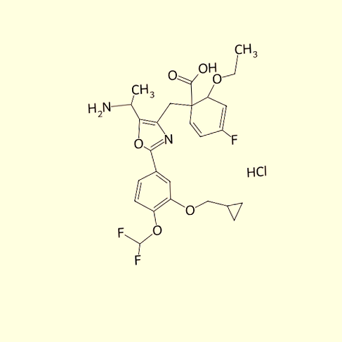 CCOC1C=C(F)C=CC1(Cc1nc(-c2ccc(OC(F)F)c(OCC3CC3)c2)oc1C(C)N)C(=O)O.Cl